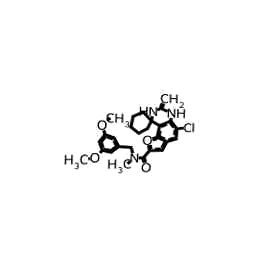 C=C1Nc2c(Cl)cc3cc(C(=O)N(C)Cc4cc(OC)cc(OC)c4)oc3c2C2(CCCCC2)N1